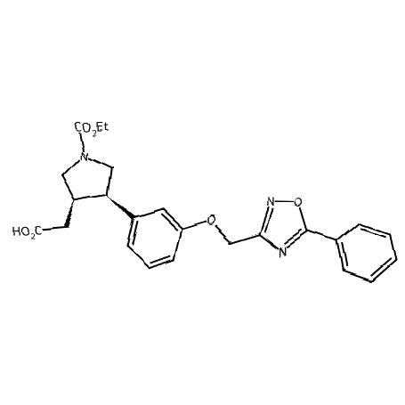 CCOC(=O)N1C[C@H](CC(=O)O)[C@H](c2cccc(OCc3noc(-c4ccccc4)n3)c2)C1